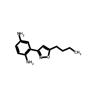 CCCCc1cc(-c2cc(N)ccc2N)no1